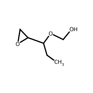 CCC(OCO)C1CO1